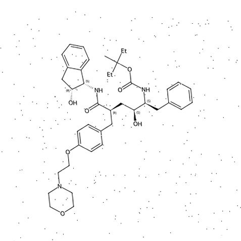 CCC(C)(CC)OC(=O)N[C@@H](Cc1ccccc1)[C@@H](O)C[C@@H](Cc1ccc(OCCN2CCOCC2)cc1)C(=O)N[C@H]1c2ccccc2C[C@H]1O